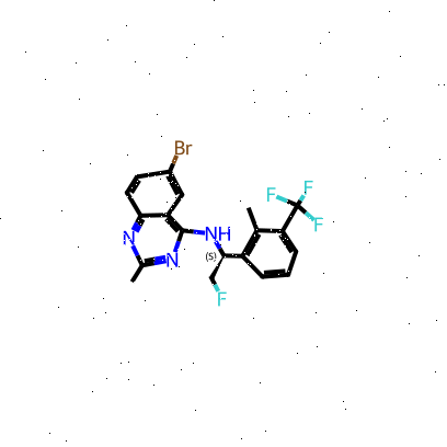 Cc1nc(N[C@H](CF)c2cccc(C(F)(F)F)c2C)c2cc(Br)ccc2n1